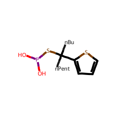 CCCCCC(CCCC)(SP(O)O)c1cccs1